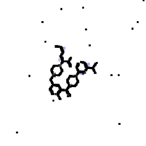 C=C/C(=N\C(=C/C)C(C)C)N1CCN(C(=O)c2cc(CN3CCN(/C(=C/C=C\C)C(=C)C)CC3)ccc2C)CC1